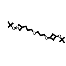 CC(C)(C)OC1CC(OCCCOCCCC2CN(OC(C)(C)C)C2)C1